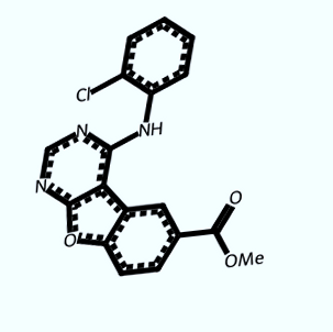 COC(=O)c1ccc2oc3ncnc(Nc4ccccc4Cl)c3c2c1